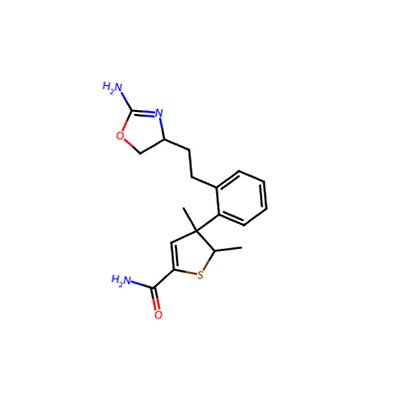 CC1SC(C(N)=O)=CC1(C)c1ccccc1CCC1COC(N)=N1